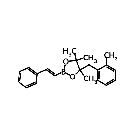 Cc1ccccc1CC1(C)OB(C=Cc2ccccc2)OC1(C)C